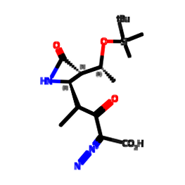 CC(C(=O)C(=[N+]=[N-])C(=O)O)[C@H]1NC(=O)[C@@H]1[C@@H](C)O[Si](C)(C)C(C)(C)C